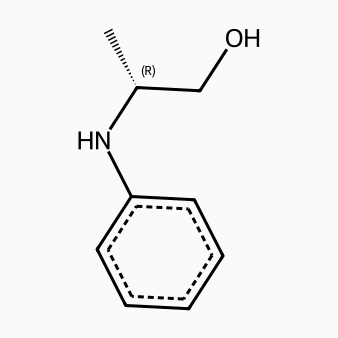 C[C@H](CO)Nc1ccccc1